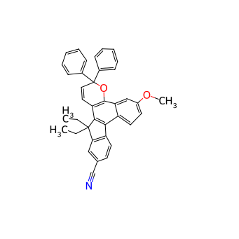 CCC1(CC)c2cc(C#N)ccc2-c2c1c1c(c3cc(OC)ccc23)OC(c2ccccc2)(c2ccccc2)C=C1